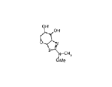 CON(C)C1=NC2C(OCC(O)C2O)S1